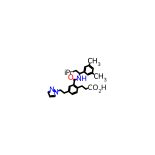 Cc1cc(C)cc(C(CC(C)C)NC(=O)c2cc(CCn3cccn3)ccc2CCC(=O)O)c1